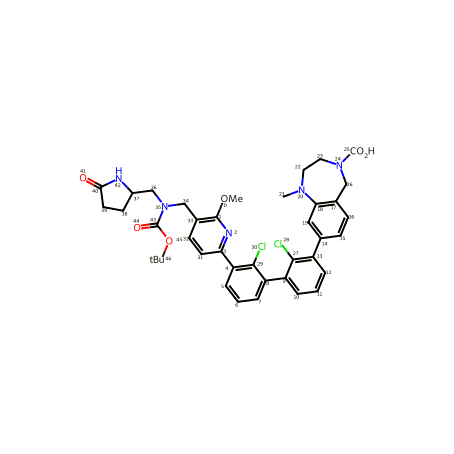 COc1nc(-c2cccc(-c3cccc(-c4ccc5c(c4)N(C)CCN(C(=O)O)C5)c3Cl)c2Cl)ccc1CN(CC1CCC(=O)N1)C(=O)OC(C)(C)C